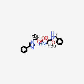 CCCC[C@H](NC(=O)O[C@@H](Cn1cnc(-c2ccccc2)c1)C(C)(C)C)C(=O)C(=O)N[C@H](C)c1ccccc1